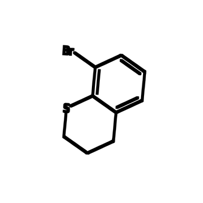 Brc1cccc2c1SCCC2